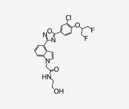 O=C(Cn1ccc2c(-c3noc(-c4ccc(OC(CF)CF)c(Cl)c4)n3)cccc21)NCCO